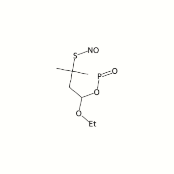 CCOC(CC(C)(C)SN=O)OP=O